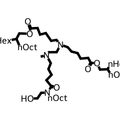 CCCCCCCCC(CCCCCC)COC(=O)CCCCCN(CCCCCC(=O)OCC(CCCCCC)CCCCCCCC)CCN(C)CCCCC(=O)N(CCO)CCCCCCCC